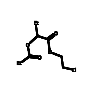 CCC(=O)OC(CC)C(=O)OCCCl